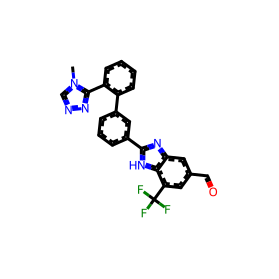 Cn1cnnc1-c1ccccc1-c1cccc(-c2nc3cc(C=O)cc(C(F)(F)F)c3[nH]2)c1